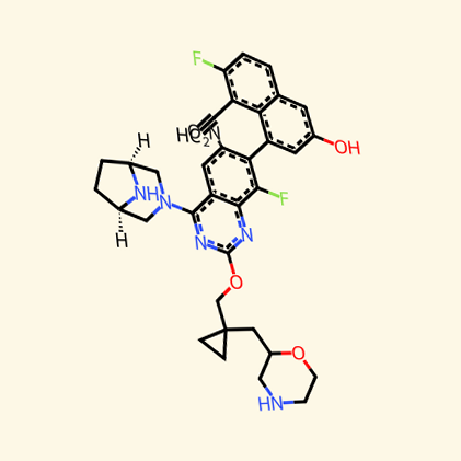 C#Cc1c(F)ccc2cc(O)cc(-c3c([N+](=O)[O-])cc4c(N5C[C@H]6CC[C@@H](C5)N6)nc(OCC5(CC6CNCCO6)CC5)nc4c3F)c12